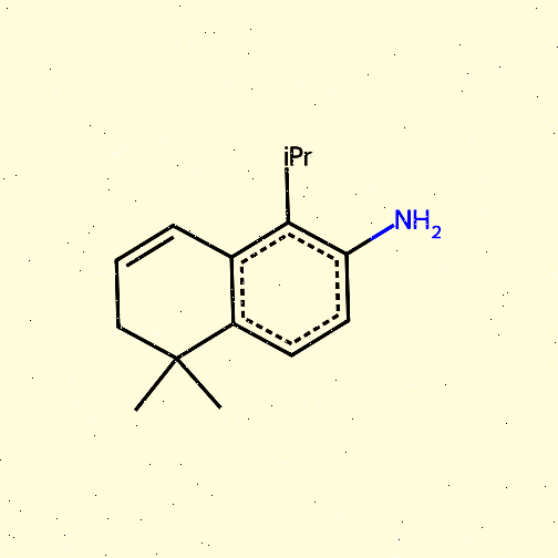 CC(C)c1c(N)ccc2c1C=CCC2(C)C